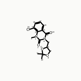 Cn1c(=O)n(CC2COC(C)(C)O2)c(=O)c2cccc(Cl)c21